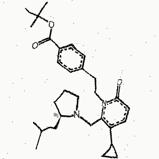 CC(C)C[C@H]1CCCN1Cc1c(C2CC2)ccc(=O)n1CCc1ccc(C(=O)OC(C)(C)C)cc1